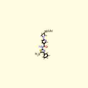 CC(=O)NC1CCN(c2ccc(C(=O)Nc3nc(-c4ccccc4)c(C)s3)cn2)C1